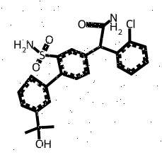 CC(C)(O)c1cccc(-c2ccc(C(C(N)=O)c3ccccc3Cl)cc2S(N)(=O)=O)c1